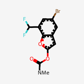 CNC(=O)Oc1cc2cc(Br)cc(C(F)F)c2o1